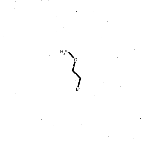 [SiH3]OCCBr